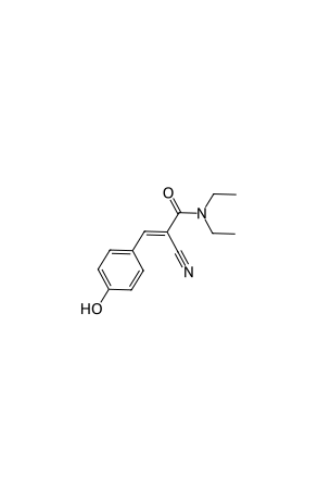 CCN(CC)C(=O)/C(C#N)=C/c1ccc(O)cc1